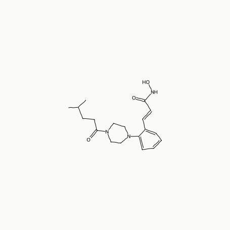 CC(C)CCC(=O)N1CCN(c2ccccc2/C=C/C(=O)NO)CC1